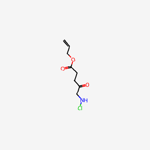 C=CCOC(=O)CCC(=O)CNCl